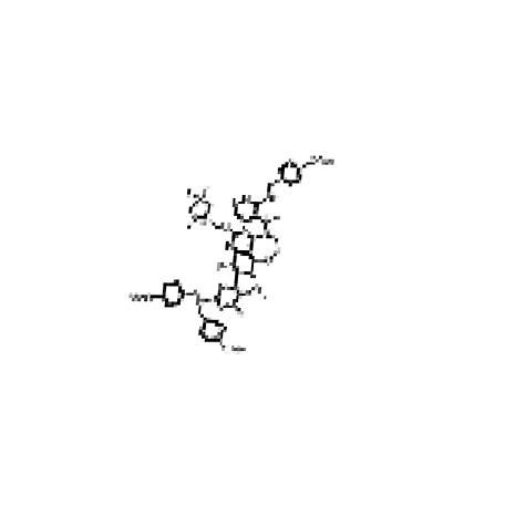 COc1ccc(CNc2nnccc2[C@@H](C)N2CCOc3c(Cl)c(-c4nc(N(Cc5ccc(OC)cc5)Cc5ccc(OC)cc5)cc(C)c4C(F)(F)F)c(F)c4nc(OC[C@@H]5CC(F)(F)CN5C)nc2c34)cc1